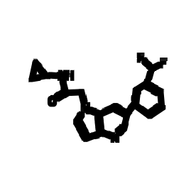 O=C(Cn1ccc2ncc(-c3cccc(C(F)F)c3)cc21)NC1CC1